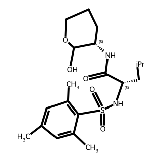 Cc1cc(C)c(S(=O)(=O)N[C@@H](CC(C)C)C(=O)N[C@H]2CCCOC2O)c(C)c1